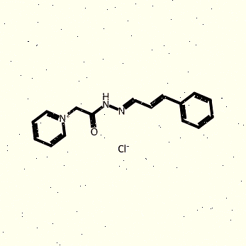 O=C(C[n+]1ccccc1)NN=CC=Cc1ccccc1.[Cl-]